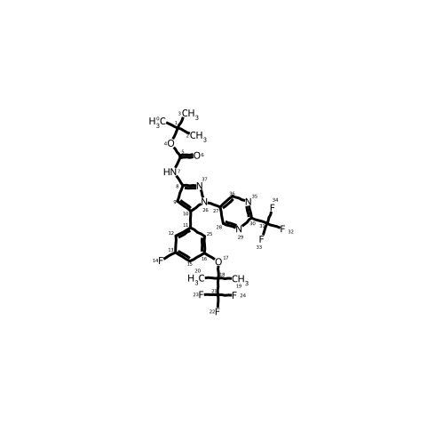 CC(C)(C)OC(=O)Nc1cc(-c2cc(F)cc(OC(C)(C)C(F)(F)F)c2)n(-c2cnc(C(F)(F)F)nc2)n1